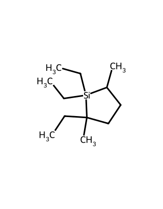 CCC1(C)CCC(C)[Si]1(CC)CC